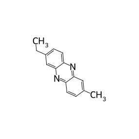 CCc1ccc2nc3cc(C)ccc3nc2c1